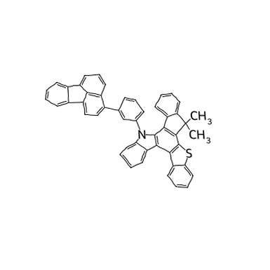 CC1(C)c2ccccc2-c2c1c1sc3ccccc3c1c1c3ccccc3n(-c3cccc(-c4ccc5c6c(cccc46)-c4ccccc4-5)c3)c21